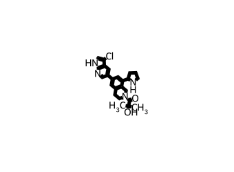 CC(C)(O)C(=O)N1CCc2cc(-c3cnc4[nH]cc(Cl)c4c3)cc(C3CCCN3)c2C1